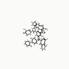 c1ccc(-c2ccc(N(c3ccc4ccccc4c3)c3cc(-c4cc(-c5ccccc5)cc(-c5ccccc5)c4)c4c(c3)oc3ccc5ccccc5c34)cc2)cc1